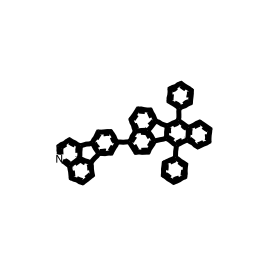 c1ccc(-c2c3c(c(-c4ccccc4)c4ccccc24)-c2ccc(-c4ccc5c(c4)-c4cccc6nccc-5c46)c4cccc-3c24)cc1